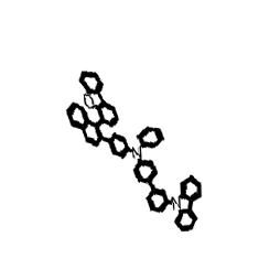 c1ccc(N(c2ccc(-c3cccc(-n4c5ccccc5c5ccccc54)c3)cc2)c2ccc(-c3ccc4ccccc4c3-c3cccc4c3oc3ccccc34)cc2)cc1